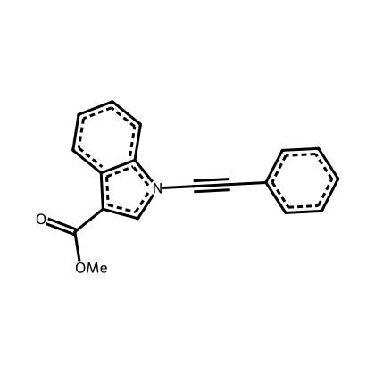 COC(=O)c1cn(C#Cc2ccccc2)c2ccccc12